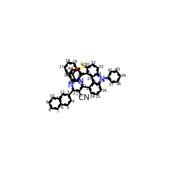 N#Cc1c(-c2ccc3ccccc3c2)nc(-c2ccccc2)nc1-c1cccc2c1c1c3c(ccc1n2-c1ccccc1)sc1ccccc13